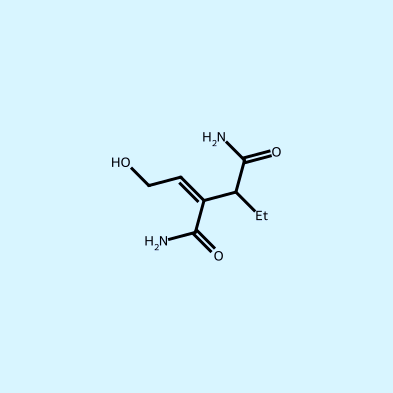 CCC(C(N)=O)C(=CCO)C(N)=O